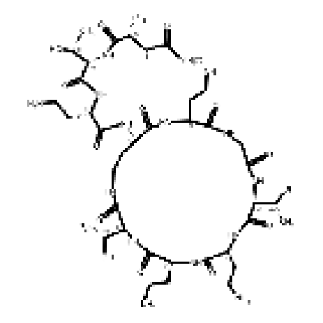 CCCCCCCC(=O)N[C@@H](C)C(=O)N[C@H](C(=O)N[C@@H](CCN)C(=O)N[C@H]1CCNC(=O)[C@H]([C@@H](C)O)NC(=O)[C@H](CCN)NC(=O)[C@H](CCN)NC(=O)[C@H]([C@@H](C)O)NC(=O)CNC(=O)[C@H](CCN)NC1=O)[C@@H](C)O